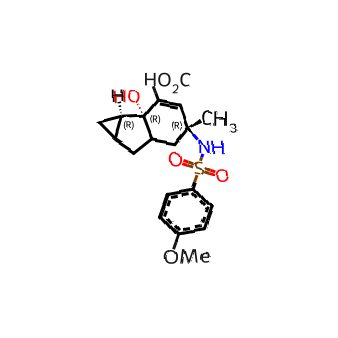 COc1ccc(S(=O)(=O)N[C@@]2(C)C=C(C(=O)O)[C@@]3(O)C(CC4C[C@H]43)C2)cc1